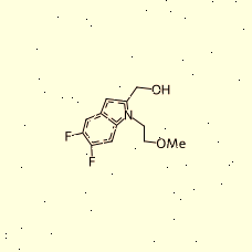 COCCn1c(CO)cc2cc(F)c(F)cc21